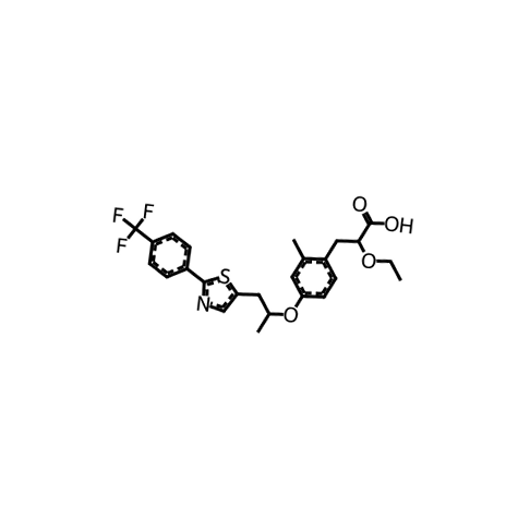 CCOC(Cc1ccc(OC(C)Cc2cnc(-c3ccc(C(F)(F)F)cc3)s2)cc1C)C(=O)O